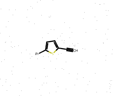 C#Cc1ccc(C(C)C)s1